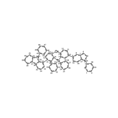 c1ccc(-n2ccc3cc(-c4ccc5c(c4)[Si](c4ccccc4)(c4ccccc4)c4cc(-c6cccc7c8ccccc8n(-c8ccccc8)c67)ccc4O5)ccc32)cc1